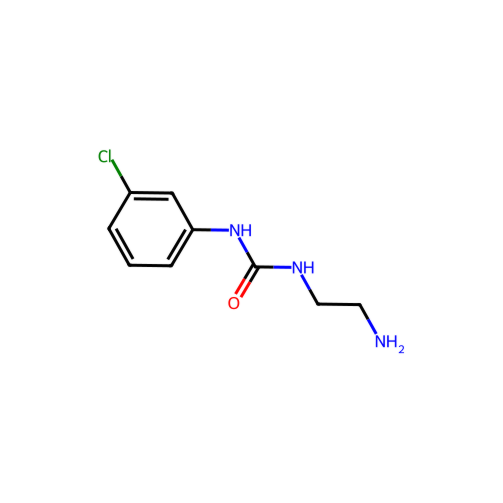 NCCNC(=O)Nc1cccc(Cl)c1